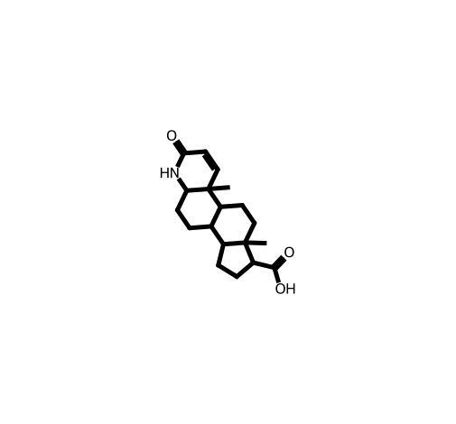 CC12C=CC(=O)NC1CCC1C2CCC2(C)C(C(=O)O)CCC12